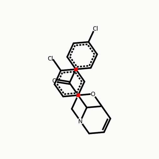 O=C(c1ccc(Cl)cc1)N1CN2CC=CC(O1)C2c1ccc(Cl)cc1